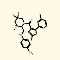 Cc1ccnc(-c2sc(C)nc2C(=O)N2CC(F)(F)C[C@@H](C)C2CNc2ccc(C(F)(F)F)cn2)c1